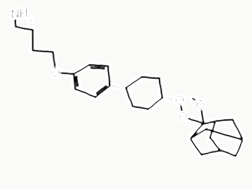 COC1(OO[C@H]2CC[C@@H](c3ccc(OCCCCN)cc3)CC2)C2CC3CC(C2)CC1C3